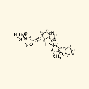 Cc1cc(Nc2ncnc3ccc(C#CC4CN(S(C)(=O)=O)CCO4)cc23)ccc1Oc1ccccc1